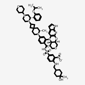 CC(C)Oc1ccccc1[C@H]1CN(C2CCOCC2)CCN1C1CC2(CCN(c3ccc(C(=O)NS(=O)(=O)c4ccc(NCC5CCC(C)(O)CC5)c([N+](=O)[O-])c4)c(N4c5cc6cc[nH]c6nc5O[C@H]5COCC[C@@H]54)c3)[C@@H](C)C2)C1